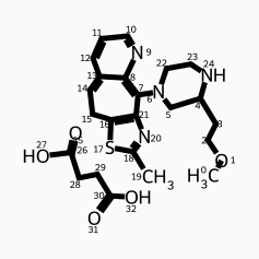 COCCC1CN(C2=c3ncccc3=CCc3sc(C)nc32)CCN1.O=C(O)CCC(=O)O